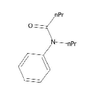 CCCC(=O)N(CCC)c1ccccc1